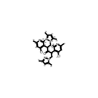 Cc1cc(Cl)c(C(Cn2nc(C)cc2C)C(=O)C(Cn2nc(C)cc2C)c2c(Cl)cc(C)nc2C)c(C)n1